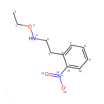 CCONCCc1ccccc1[N+](=O)[O-]